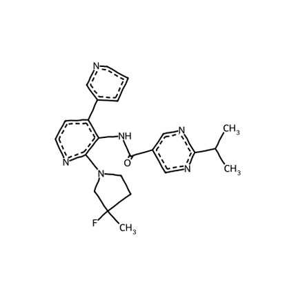 CC(C)c1ncc(C(=O)Nc2c(-c3cccnc3)ccnc2N2CCC(C)(F)C2)cn1